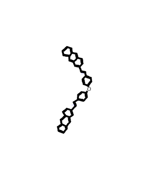 C(=C\c1ccc2cc3ccccc3cc2c1)/c1ccc(Oc2ccc(/C=C/c3ccc4cc5ccccc5cc4c3)cc2)cc1